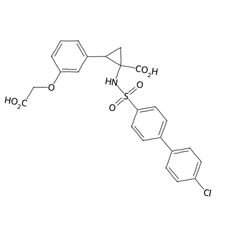 O=C(O)COc1cccc(C2CC2(NS(=O)(=O)c2ccc(-c3ccc(Cl)cc3)cc2)C(=O)O)c1